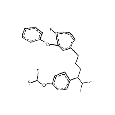 CC(C)C(CCCc1ccc(F)c(Oc2ccccc2)c1)c1ccc(OC(F)F)cc1